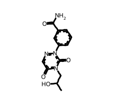 CC(O)Cn1c(=O)cnn(-c2cccc(C(N)=O)c2)c1=O